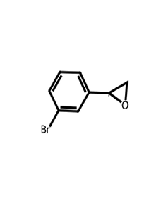 Brc1cccc([C]2CO2)c1